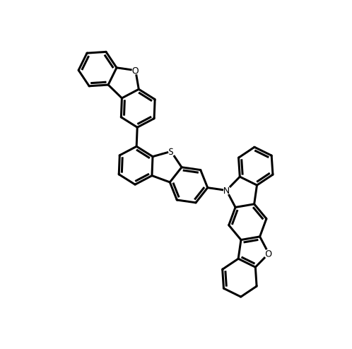 C1=Cc2c(oc3cc4c5ccccc5n(-c5ccc6c(c5)sc5c(-c7ccc8oc9ccccc9c8c7)cccc56)c4cc23)CC1